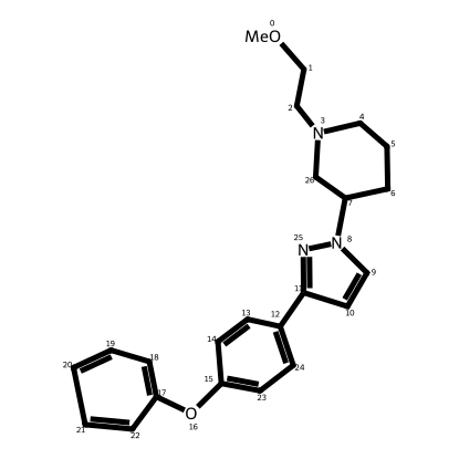 COCCN1CCCC(n2ccc(-c3ccc(Oc4ccccc4)cc3)n2)C1